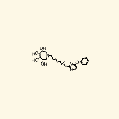 O[C@H]1[C@H](O)[C@@H](O)CN(CCCCCCOCc2nccc(Oc3ccccc3)n2)C[C@@H]1O